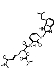 CC(C)Cc1cccc2nc(Cn3cccc(NC(=O)C(CCC=CC(=O)N(C)C)OC(=O)N(C)C)c3=O)[nH]c12